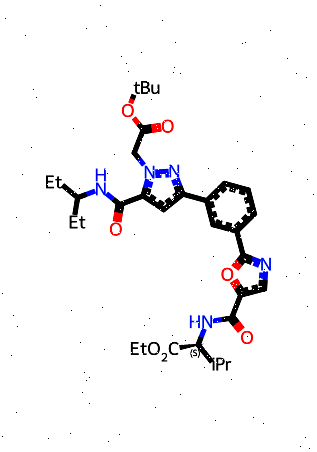 CCOC(=O)[C@@H](NC(=O)c1cnc(-c2cccc(-c3cc(C(=O)NC(CC)CC)n(CC(=O)OC(C)(C)C)n3)c2)o1)C(C)C